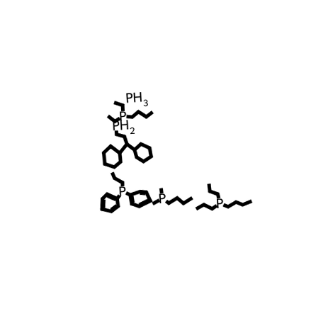 CCCCP(C)C.CCCCP(CC)CC.CCCCP(CCC)CCC.CCCP(c1ccccc1)c1ccccc1.P.PCCC(C1CCCCC1)C1CCCCC1